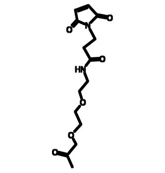 CC(=O)COCCOCCNC(=O)CCN1C(=O)C=CC1=O